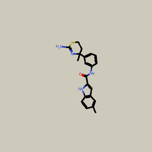 Cc1ccc2[nH]c(C(=O)Nc3cccc(C4(C)CCSC(N)=N4)c3)cc2c1